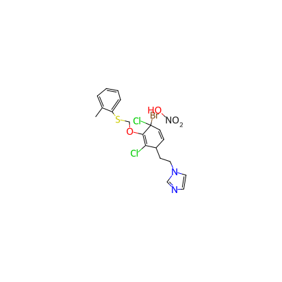 Cc1ccccc1SCOC1=C(Cl)C(CCn2ccnc2)C=CC1(Cl)Br.O=[N+]([O-])O